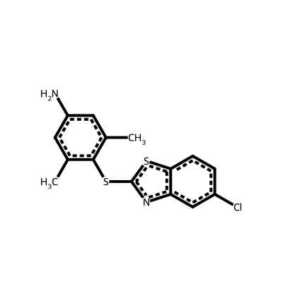 Cc1cc(N)cc(C)c1Sc1nc2cc(Cl)ccc2s1